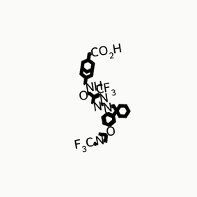 O=C(O)CC1CC2CC(CNC(=O)c3cnc(N4CC5(CCCCC5)c5cc(OC6CN(CC(F)(F)F)C6)ccc54)nc3C(F)(F)F)CC(C1)C2